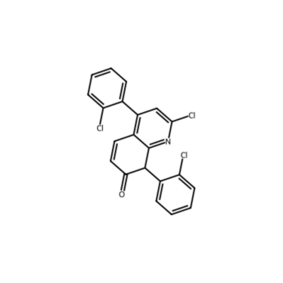 O=C1C=Cc2c(-c3ccccc3Cl)cc(Cl)nc2C1c1ccccc1Cl